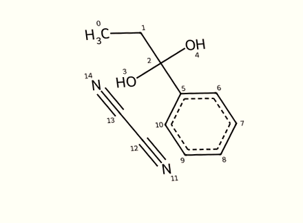 CCC(O)(O)c1ccccc1.N#CC#N